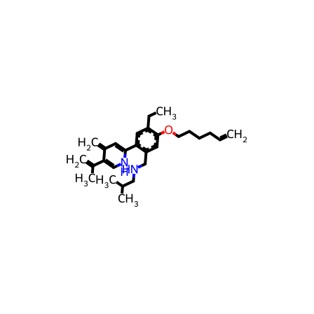 C=CCCCCOc1cc(CNCC(C)C)c(C2=CC(=C)C(C(=C)C)=CN2)cc1CC